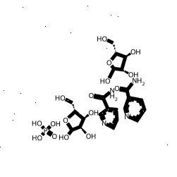 NC(=O)c1cccnc1.NC(=O)c1cccnc1.O=P(O)(O)O.OC[C@H]1OC(O)[C@H](O)[C@@H]1O.OC[C@H]1OC(O)[C@H](O)[C@@H]1O